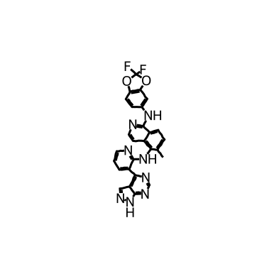 Cc1ccc2c(Nc3ccc4c(c3)OC(F)(F)O4)nccc2c1Nc1ncccc1-c1ncnc2[nH]ncc12